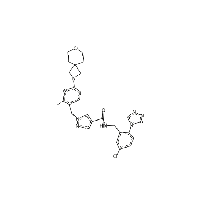 Cc1nc(N2CC3(CCOCC3)C2)ccc1Cn1cc(C(=O)NCc2cc(Cl)ccc2-n2cnnn2)cn1